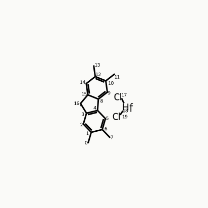 Cc1cc2c(cc1C)-c1cc(C)c(C)cc1[CH]2.[Cl][Hf][Cl]